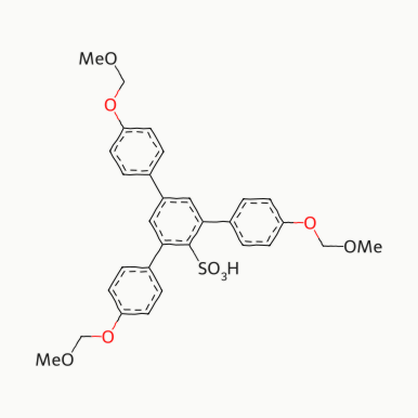 COCOc1ccc(-c2cc(-c3ccc(OCOC)cc3)c(S(=O)(=O)O)c(-c3ccc(OCOC)cc3)c2)cc1